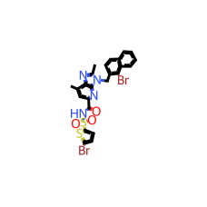 Cc1cc(C(=O)NS(=O)(=O)c2ccc(Br)s2)nc2c1nc(C)n2Cc1ccc2ccccc2c1Br